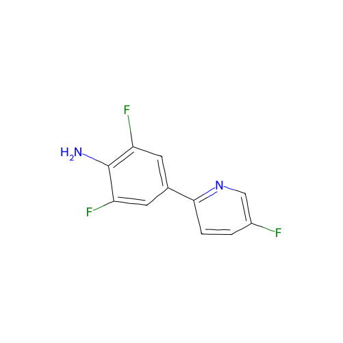 Nc1c(F)cc(-c2ccc(F)cn2)cc1F